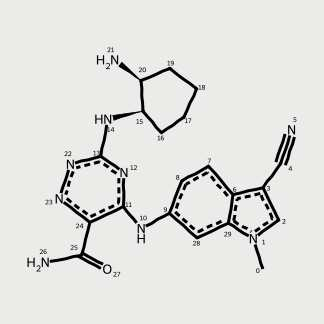 Cn1cc(C#N)c2ccc(Nc3nc(N[C@@H]4CCCC[C@@H]4N)nnc3C(N)=O)cc21